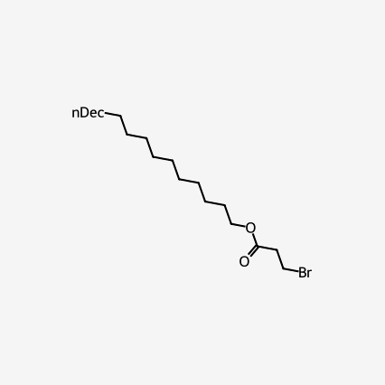 CCCCCCCCCCCCCCCCCCCCOC(=O)CCBr